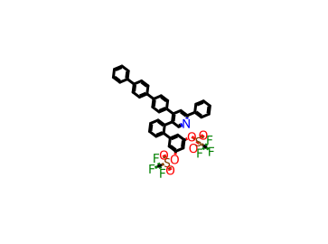 O=S(=O)(Oc1cc(OS(=O)(=O)C(F)(F)F)cc(-c2ccccc2-c2cnc(-c3ccccc3)cc2-c2ccc(-c3ccc(-c4ccccc4)cc3)cc2)c1)C(F)(F)F